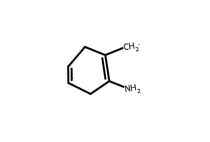 [CH2]C1=C(N)CC=CC1